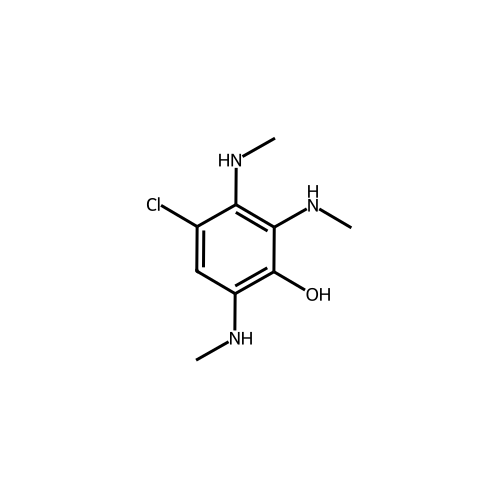 CNc1cc(Cl)c(NC)c(NC)c1O